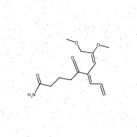 C=C/C=C(\C=C(/COC)OC)C(=O)CCCC(N)=O